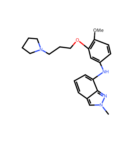 COc1ccc(Nc2cccc3cn(C)nc23)cc1OCCCN1CCCC1